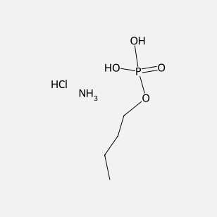 CCCCOP(=O)(O)O.Cl.N